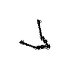 C=CC(=O)OCCCCCCCCCCCOc1ccc(-c2ccc(CO[C@H]3OCCO[C@@H]3OCc3ccc(-c4ccc(OCCCCCCCCCCCOC(=O)C=C)cn4)cc3)cc2)nc1